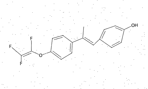 C/C(=C\c1ccc(O)cc1)c1ccc(OC(F)=C(F)F)cc1